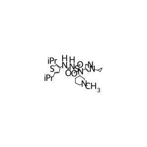 CC(C)c1cc(NC(=O)NS(=O)(=O)N(c2cnn(C3CC3)c2)C2CCCN(C)C2)c(C(C)C)s1